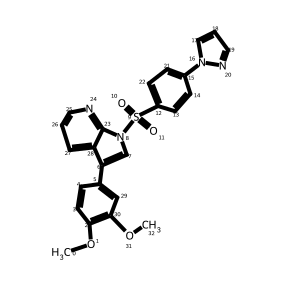 COc1ccc(-c2cn(S(=O)(=O)c3ccc(-n4cccn4)cc3)c3ncccc23)cc1OC